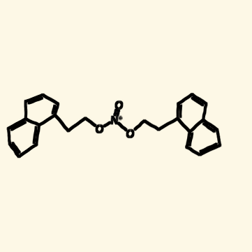 O=[N+](OCCc1cccc2ccccc12)OCCc1cccc2ccccc12